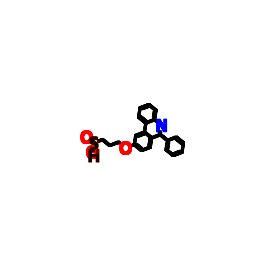 O=[SH](=O)CCCOc1ccc2c(-c3ccccc3)nc3ccccc3c2c1